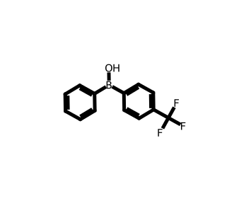 OB(c1ccccc1)c1ccc(C(F)(F)F)cc1